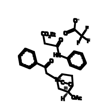 CC(=O)O[C@H]1C[N+]2(CC(=O)c3ccccc3)CCC1CC2.CCOC(=O)CC(=O)Nc1ccccc1.O=C([O-])C(F)(F)F